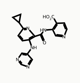 O=C(O)c1ccncc1NC(=O)c1nc(C2CC2)ccc1Nc1cncnc1